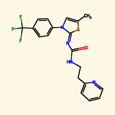 Cc1cn(-c2ccc(C(F)(F)F)cc2)c(=NC(=O)NCCc2ccccn2)s1